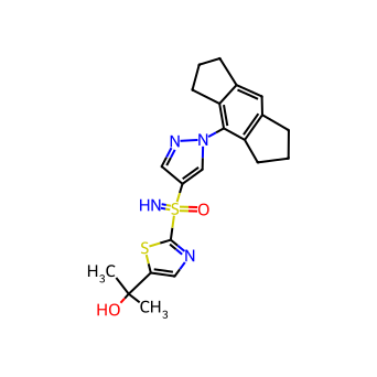 CC(C)(O)c1cnc(S(=N)(=O)c2cnn(-c3c4c(cc5c3CCC5)CCC4)c2)s1